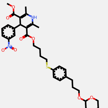 COC(=O)C1=C(C)NC(C)=C(C(=O)OCCCCSc2ccc(CCCOC3CCCCO3)cc2)C1c1cccc([N+](=O)[O-])c1